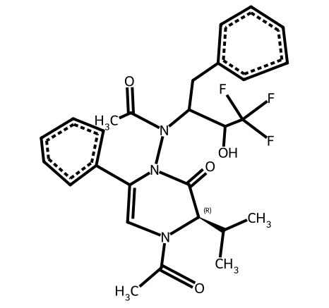 CC(=O)N1C=C(c2ccccc2)N(N(C(C)=O)C(Cc2ccccc2)C(O)C(F)(F)F)C(=O)[C@H]1C(C)C